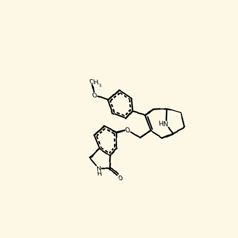 COc1ccc(C2=C(COc3ccc4c(c3)C(=O)NC4)CC3CCC(C2)N3)cc1